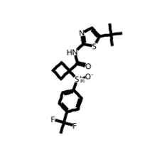 CC(C)(C)c1cnc(NC(=O)C2([S@@+]([O-])c3ccc(C(C)(F)F)cc3)CCC2)s1